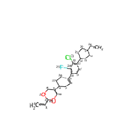 C=CC1OCC(C2CC=C(c3ccc(C4CCC(CC)CC4)c(Cl)c3F)CC2)CO1